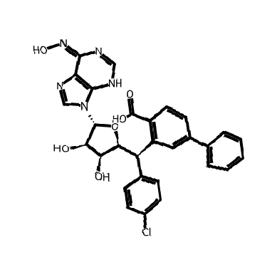 O=C(O)c1ccc(-c2ccccc2)cc1[C@@H](c1ccc(Cl)cc1)[C@@H]1O[C@@H](n2cnc3/c(=N\O)nc[nH]c32)[C@H](O)[C@@H]1O